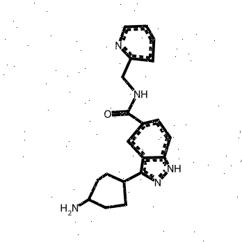 NC1CCC(c2n[nH]c3ccc(C(=O)NCc4ccccn4)cc23)CC1